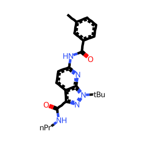 CCCNC(=O)c1nn(C(C)(C)C)c2nc(NC(=O)c3cccc(C)c3)ccc12